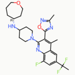 Cc1noc(-c2c(N3CCC(N[C@@H]4CCCOCC4)CC3)nc3c(F)cc(C(C)(F)F)cc3c2C)n1